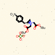 CC(C)(C)OC(=O)C[N+]1(CC(=O)OC(C)(C)C)C[C@@H]1Cc1ccc([N+](=O)[O-])cc1.[O-][Cl+3]([O-])([O-])[O-]